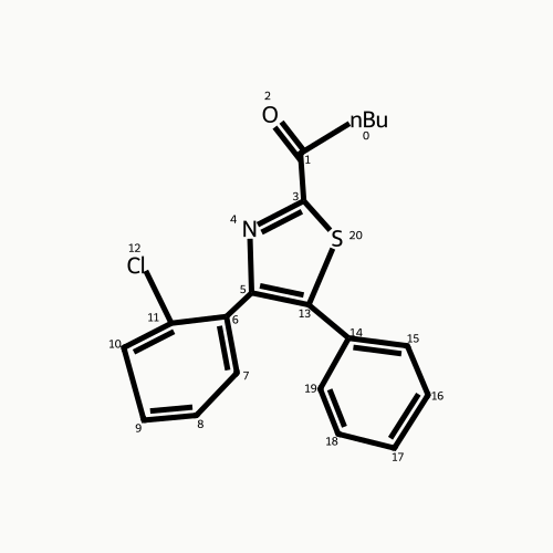 CCCCC(=O)c1nc(-c2ccccc2Cl)c(-c2ccccc2)s1